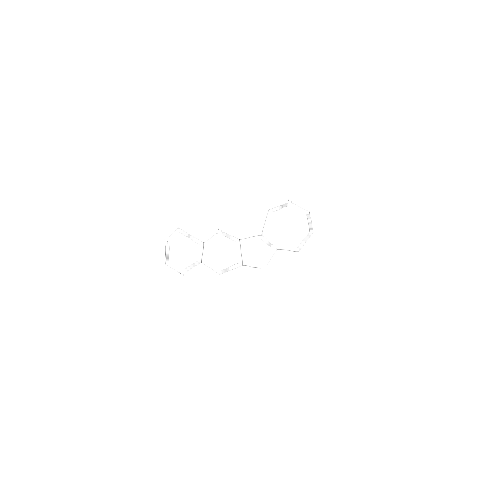 C1=CN=Cc2c(sc3cc4ncncc4nc23)C=1